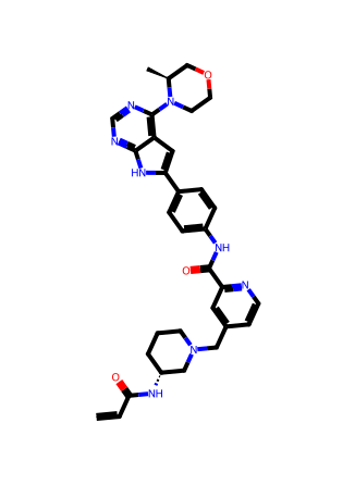 C=CC(=O)N[C@@H]1CCCN(Cc2ccnc(C(=O)Nc3ccc(-c4cc5c(N6CCOC[C@@H]6C)ncnc5[nH]4)cc3)c2)C1